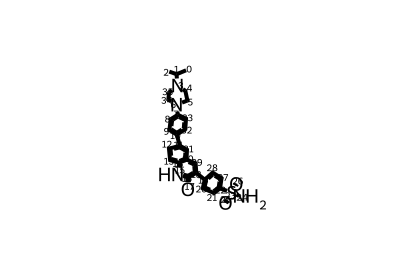 CC(C)N1CCN(c2ccc(-c3ccc4[nH]c(=O)c(-c5ccc(S(N)(=O)=O)cc5)cc4c3)cc2)CC1